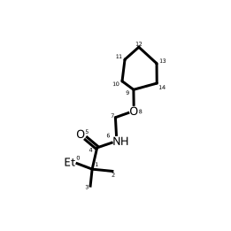 CCC(C)(C)C(=O)NCOC1CCCCC1